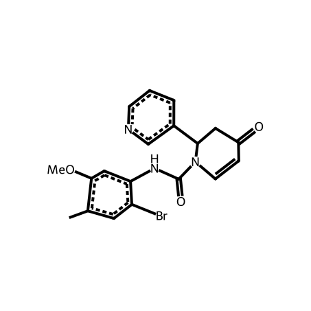 COc1cc(NC(=O)N2C=CC(=O)CC2c2cccnc2)c(Br)cc1C